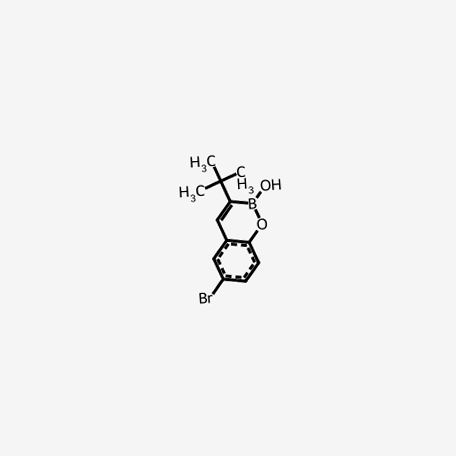 CC(C)(C)C1=Cc2cc(Br)ccc2OB1O